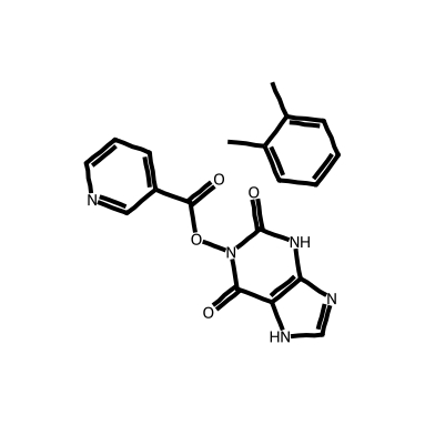 Cc1ccccc1C.O=C(On1c(=O)[nH]c2nc[nH]c2c1=O)c1cccnc1